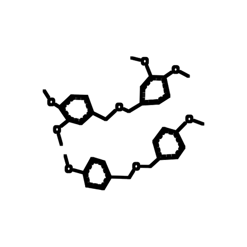 COc1ccc(COCc2ccc(OC)c(OC)c2)cc1OC.COc1ccc(COCc2ccc(OC)cc2)cc1